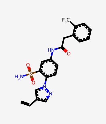 C=Cc1cnn(-c2ccc(NC(=O)Cc3ccccc3C(F)(F)F)cc2S(N)(=O)=O)c1